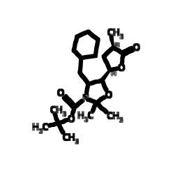 C[C@@H]1C[C@H](C2OC(C)(C)N(C(=O)OC(C)(C)C)C2CC2CCCCC2)OC1=O